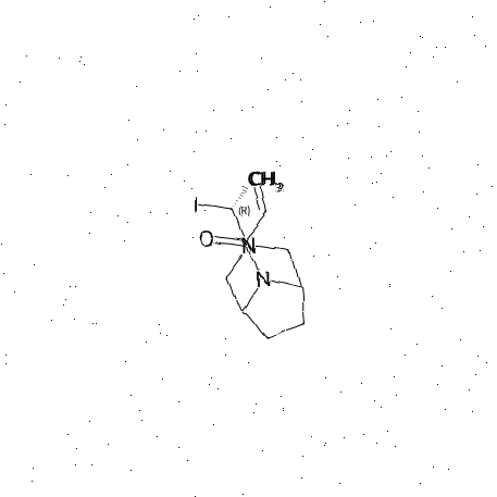 C=CC(=O)N1C2CCC1CN([C@@H](C)I)C2